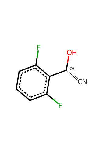 N#C[C@@H](O)c1c(F)cccc1F